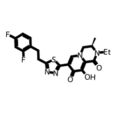 CCN1C(=O)c2c(O)c(=O)c(-c3nnc(CCc4ccc(F)cc4F)s3)cn2C[C@H]1C